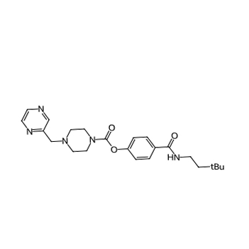 CC(C)(C)CCNC(=O)c1ccc(OC(=O)N2CCN(Cc3cnccn3)CC2)cc1